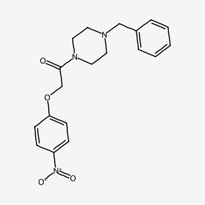 O=C(COc1ccc([N+](=O)[O-])cc1)N1CCN(Cc2ccccc2)CC1